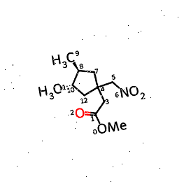 COC(=O)CC1(C[N+](=O)[O-])C[C@H](C)[C@@H](C)C1